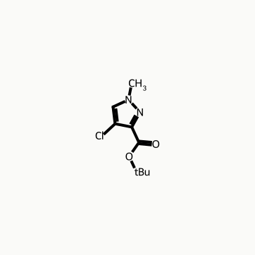 Cn1cc(Cl)c(C(=O)OC(C)(C)C)n1